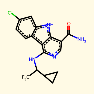 NC(=O)c1cnc(NC(C2CC2)C(F)(F)F)c2c1[nH]c1cc(Cl)ccc12